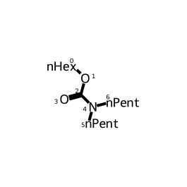 CCCCCCOC(=O)N(CCCCC)CCCCC